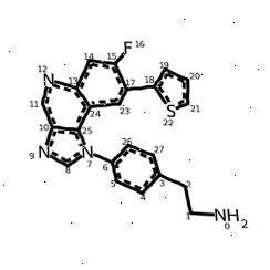 NCCc1ccc(-n2cnc3cnc4cc(F)c(-c5cccs5)cc4c32)cc1